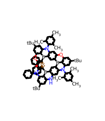 Cc1cc(C)c(N2c3cc4c(cc3B3c5cc6c(cc5Oc5cc(C(C)(C)C)cc2c53)N(c2c(C)cc(C)cc2C)c2cc(C(C)(C)C)cc3c2B6c2sc5ccccc5c2O3)B2c3sc5ccccc5c3N(c3ccccc3)c3cc(C(C)(C)C)cc(c32)N4)c(C)c1